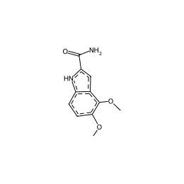 COc1ccc2[nH]c(C(N)=O)cc2c1OC